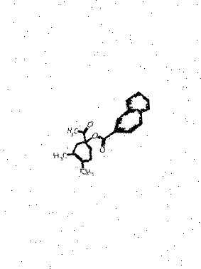 CC(=O)C1(OC(=O)c2ccc3ccccc3c2)CCC(C)=C(C)C1